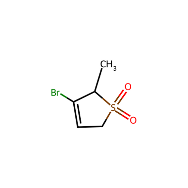 CC1C(Br)=CCS1(=O)=O